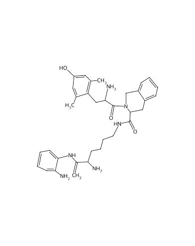 C=C(Nc1ccccc1N)C(N)CCCCNC(=O)C1Cc2ccccc2CN1C(=O)C(N)Cc1c(C)cc(O)cc1C